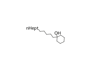 CCCCCCCCCCCCC1(O)CCCCC1